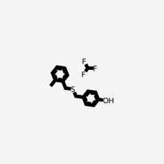 Cc1ccccc1CSCc1ccc(O)cc1.FC(F)F